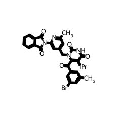 Cc1cc(Br)cc(C(=O)c2c(C(C)C)c(=O)[nH]c(=O)n2Cc2cc(C)nc(N3C(=O)c4ccccc4C3=O)c2)c1